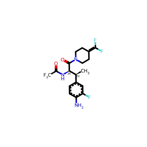 C[C@@H](c1ccc(N)c(F)c1)[C@@H](NC(=O)C(F)(F)F)C(=O)N1CCC(=C(F)F)CC1